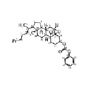 CC(C)CCC[C@@H](C)[C@H]1CC[C@H]2[C@@H]3C[C@@H]4OC45C[C@@H](OC(=O)Oc4ccccc4)CC[C@]5(C)[C@H]3CC[C@]12C